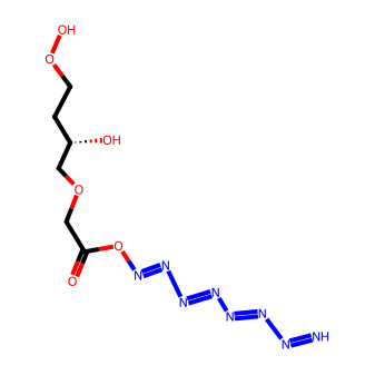 N=NN=NN=NN=NOC(=O)COC[C@@H](O)CCOO